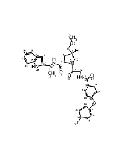 COC[C@@]1(F)C[C@@H](C(=O)N[C@H](C)c2cc3cnccc3[nH]2)N(C(=O)CNC(=O)c2ccc(Oc3ccc(F)cc3)cc2)C1